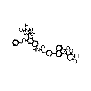 O=C1CCC(N2C(=O)c3cccc4c(-c5ccc(CC(=O)Nc6ccc7c(F)c(N8CC(=O)NS8(=O)=O)c(OCc8ccccc8)cc7c6)cc5)ccc2c34)C(=O)N1